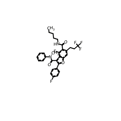 CCCCCNC(=O)c1c(CCC(F)(F)F)cc2oc(-c3ccc(F)cc3)c(C(=O)N(C)c3ccccc3)c2c1F